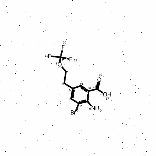 Nc1c(Br)cc(CCOC(F)(F)F)cc1C(=O)O